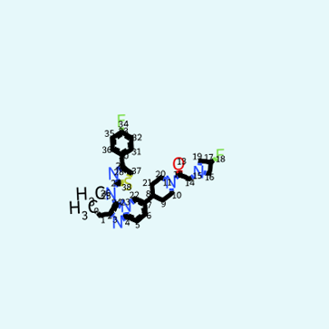 CCc1nc2ccc(C3CCN(C(=O)CN4CC(F)C4)CC3)cn2c1N(C)c1nc(-c2ccc(F)cc2)cs1